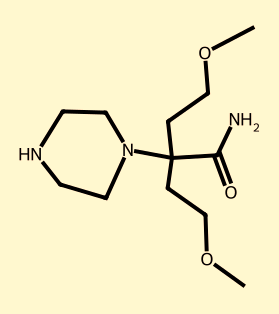 COCCC(CCOC)(C(N)=O)N1CCNCC1